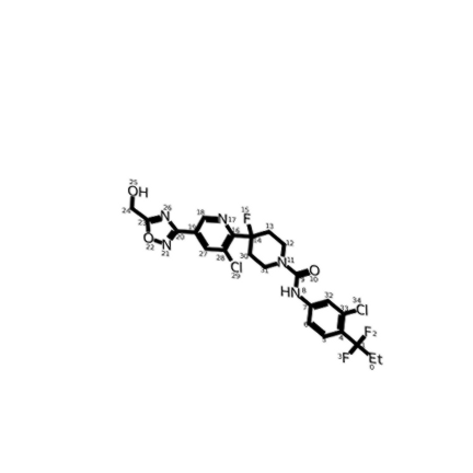 CCC(F)(F)c1ccc(NC(=O)N2CCC(F)(c3ncc(-c4noc(CO)n4)cc3Cl)CC2)cc1Cl